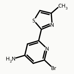 Cc1csc(-c2cc(N)cc(Br)n2)n1